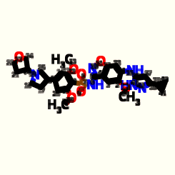 COc1cc2c(NS(=O)(=O)c3c(OC)cc(C4CCN([C@H]5CCOC5)C4)cc3OC)noc2cc1Nc1cc(C2CC2)n[nH]1